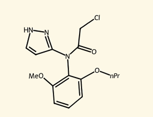 CCCOc1cccc(OC)c1N(C(=O)CCl)c1cc[nH]n1